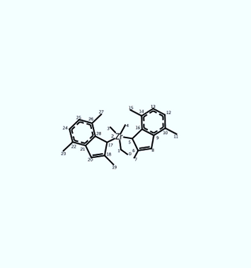 C[CH2][Zr]([CH3])([CH3])([CH]1C(C)=Cc2c(C)ccc(C)c21)[CH]1C(C)=Cc2c(C)ccc(C)c21